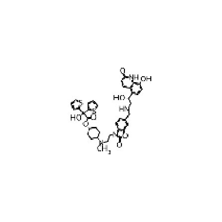 CN(CCn1c(=O)oc2cc(CNC[C@H](O)c3ccc(O)c4[nH]c(=O)ccc34)ccc21)[C@H]1CC[C@H](OC(=O)C(O)(c2cccs2)c2cccs2)CC1